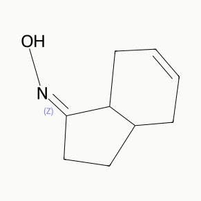 O/N=C1/CCC2CC=CCC12